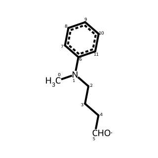 CN(CCC[C]=O)c1ccccc1